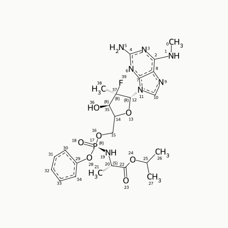 CNc1nc(N)nc2c1ncn2[C@@H]1OC(CO[P@](=O)(N[C@@H](C)C(=O)OC(C)C)Oc2ccccc2)[C@@H](O)[C@@]1(C)F